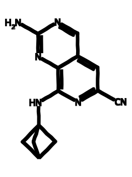 N#Cc1cc2cnc(N)nc2c(NC23CC(C2)C3)n1